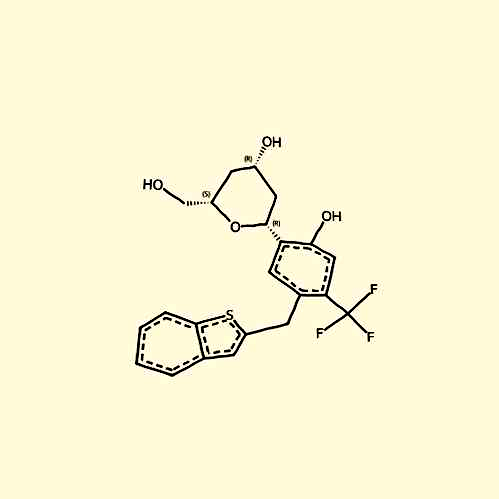 OC[C@@H]1C[C@H](O)C[C@H](c2cc(Cc3cc4ccccc4s3)c(C(F)(F)F)cc2O)O1